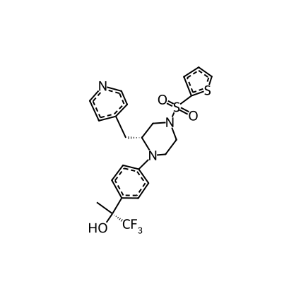 C[C@](O)(c1ccc(N2CCN(S(=O)(=O)c3cccs3)C[C@H]2Cc2ccncc2)cc1)C(F)(F)F